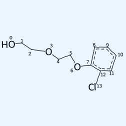 OCCOCCOc1ccccc1Cl